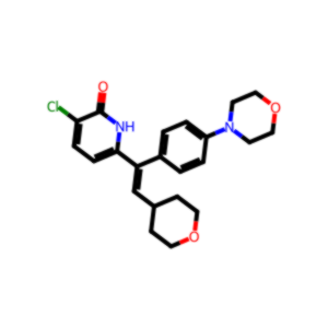 O=c1[nH]c(C(=CC2CCOCC2)c2ccc(N3CCOCC3)cc2)ccc1Cl